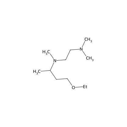 CCOCCC(C)N(C)CCN(C)C